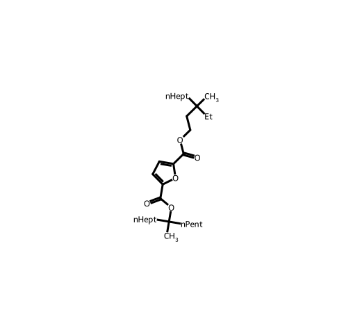 CCCCCCCC(C)(CC)CCOC(=O)c1ccc(C(=O)OC(C)(CCCCC)CCCCCCC)o1